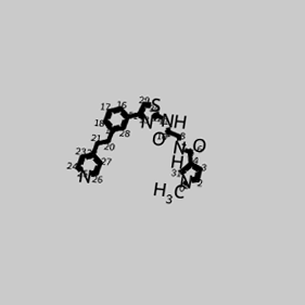 Cn1ccc(C(=O)NCC(=O)Nc2nc(-c3cccc(CCc4ccncc4)c3)cs2)c1